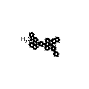 CC1(C)c2ccccc2-c2ccc(N(c3ccc(-c4c5ccccc5c(N(c5ccc(-c6ccccc6)cc5)c5ccc6ccccc6c5)c5ccccc45)cc3)c3cccc4ccccc34)cc21